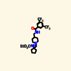 CCOC(=O)NC1(CN2CCC(CNC(=O)c3cc(C(F)(F)F)cc(C(F)(F)F)c3)CC2)CCCC1